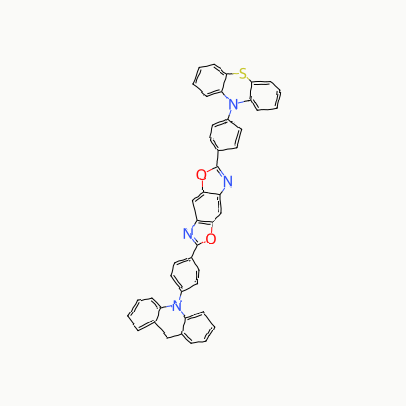 c1ccc2c(c1)Cc1ccccc1N2c1ccc(-c2nc3cc4oc(-c5ccc(N6c7ccccc7Sc7ccccc76)cc5)nc4cc3o2)cc1